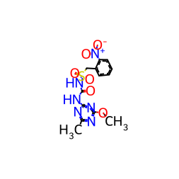 COc1nc(C)nc(NC(=O)NS(=O)(=O)Cc2ccccc2[N+](=O)[O-])n1